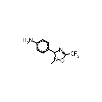 CN1OC(C(F)(F)F)=NC1c1ccc(N)cc1